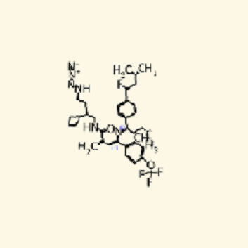 C=C(/C=C(\N=C(\c1ccc(C(F)CC(C)C)cc1)C(C)CC)c1ccc(OC(F)(F)F)cc1)C(=O)NCC(CCNN=[N+]=[N-])C1CCC1